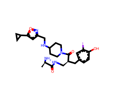 C[C@@H](N)C(=O)NC[C@H](Cc1ccc(O)c(I)c1)C(=O)N1CCC(NCc2cc(C3CC3)on2)CC1